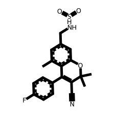 Cc1cc(CN[SH](=O)=O)cc2c1C(c1ccc(F)cc1)=C(C#N)C(C)(C)O2